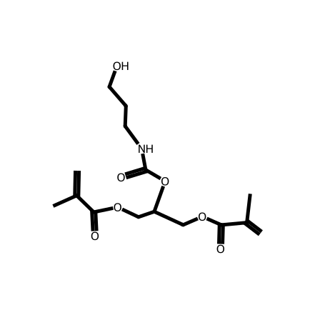 C=C(C)C(=O)OCC(COC(=O)C(=C)C)OC(=O)NCCCO